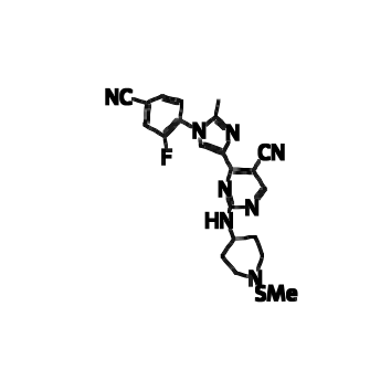 CSN1CCC(Nc2ncc(C#N)c(-c3cn(-c4ccc(C#N)cc4F)c(C)n3)n2)CC1